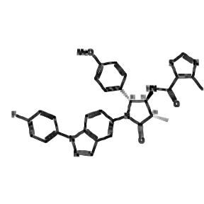 COc1ccc([C@@H]2[C@@H](NC(=O)c3scnc3C)[C@H](C)C(=O)N2c2ccc3c(cnn3-c3ccc(F)cc3)c2)cc1